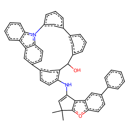 CC1(C)C=C(Nc2ccc3cc2C(O)c2cccc(c2)-c2cccc(c2)-n2c4ccccc4c4cc-3ccc42)c2c1oc1ccc(-c3ccccc3)cc21